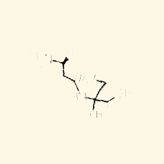 CC(CO)(CO)NCCC(N)=O